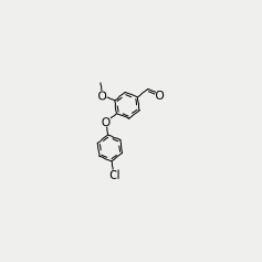 COc1cc(C=O)ccc1Oc1ccc(Cl)cc1